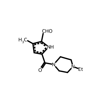 CCN1CCN(C(=O)c2cc(C)c(C=O)[nH]2)CC1